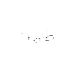 COCN1c2cc(C=CC#N)ccc2Sc2nccnc21